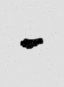 COC(=O)c1cccc(-c2cnc(C(O[Si](C)(C)C(C)(C)C)C3CCc4cc(-c5ccccc5)ccc4C3)o2)n1